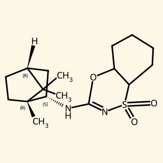 CC1(C)[C@@H]2CC[C@@]1(C)[C@@H](NC1=NS(=O)(=O)C3CCCCC3O1)C2